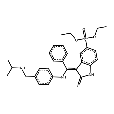 CCOP(=O)(OCC)c1ccc2c(c1)/C(=C(/Nc1ccc(CNC(C)C)cc1)c1ccccc1)C(=O)N2